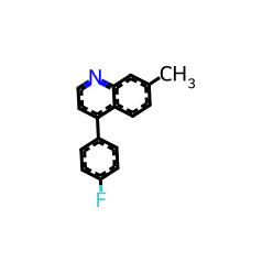 Cc1ccc2c(-c3ccc(F)cc3)ccnc2c1